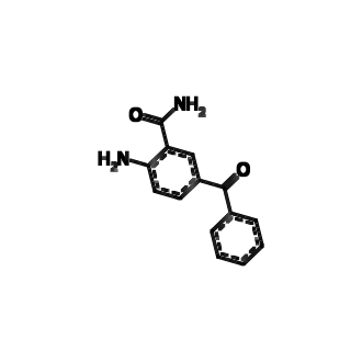 NC(=O)c1cc(C(=O)c2ccccc2)ccc1N